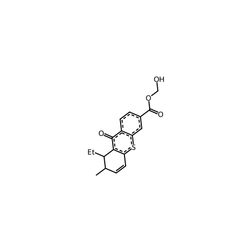 CCC1c2c(sc3cc(C(=O)OCO)ccc3c2=O)C=CC1C